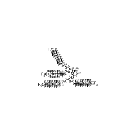 C=C(CC(=O)OCC(CSCCC(F)(F)C(F)(F)C(F)(F)C(F)(F)C(F)(F)C(F)(F)C(F)(F)C(F)(F)F)SCCC(F)(F)C(F)(F)C(F)(F)C(F)(F)C(F)(F)C(F)(F)C(F)(F)C(F)(F)F)C(=O)OCC(CSCCC(F)(F)C(F)(F)C(F)(F)C(F)(F)C(F)(F)C(F)(F)C(F)(F)C(F)(F)F)SCCC(F)(F)C(F)(F)C(F)(F)C(F)(F)C(F)(F)C(F)(F)C(F)(F)C(F)(F)F